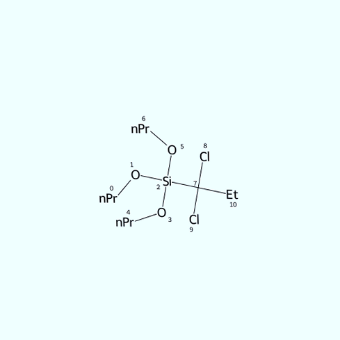 CCCO[Si](OCCC)(OCCC)C(Cl)(Cl)CC